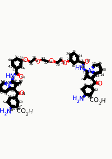 Cc1c(C(=O)c2ccc(N)c(C(=O)O)c2)c2ccccn2c1NC(=O)c1cccc(OCCOCCOCCOc2cccc(C(=O)Nc3c(C)c(C(=O)c4ccc(N)c(C(=O)O)c4)c4ccccn34)c2)c1